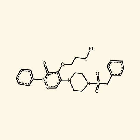 CCSCCOc1c(N2CCN(S(=O)(=O)Cc3ccccc3)CC2)cnn(-c2ccccc2)c1=O